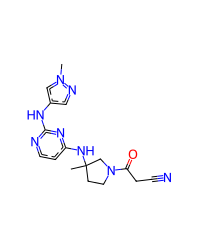 Cn1cc(Nc2nccc(NC3(C)CCN(C(=O)CC#N)C3)n2)cn1